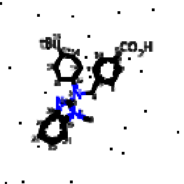 Cn1c(N(Cc2ccc(C(=O)O)cc2)C2CCC(C(C)(C)C)CC2)nc2ccccc21